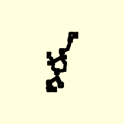 C#CCO[C@@H]1CCN(C(=O)OC(C)(C)C)C[C@H]1F